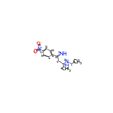 CCNC(C)CC(=N)c1ccc([N+](=O)[O-])cc1